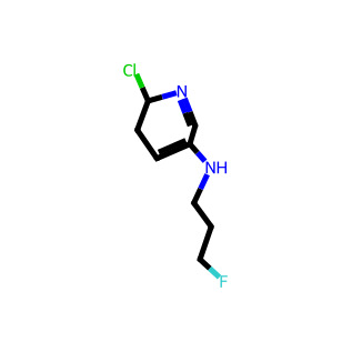 FCCCNC1=CCC(Cl)N=C1